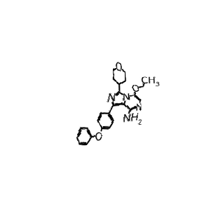 CCOc1cnc(N)c2c(-c3ccc(Oc4ccccc4)cc3)nc(C3CCOCC3)n12